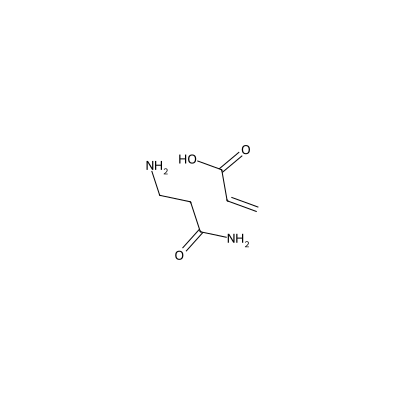 C=CC(=O)O.NCCC(N)=O